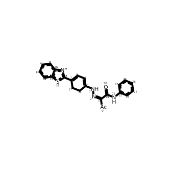 CC(=O)/C(=N/NC1=CC=C(c2nc3ccccc3s2)CC1)C(=O)Nc1ccccc1